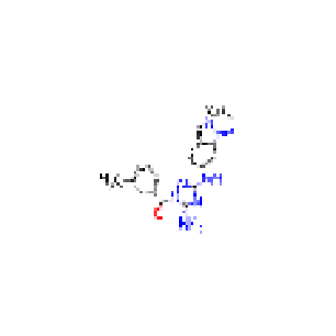 Cc1cccc(C(=O)n2nc(NC3=CC4NN(C)C=C4C=C3)nc2N)c1